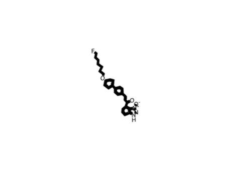 O=C(/C=C/c1ccc(-c2ccc(OCCCCCCCF)cc2)cc1)c1cccc2[nH]n[n+]([O-])c12